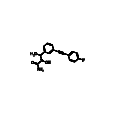 CC(c1cccc(C#Cc2ccc(F)cc2)c1)N(O)C(N)=O